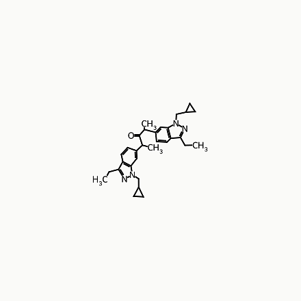 CCc1nn(CC2CC2)c2cc(C(C)C(=O)C(C)c3ccc4c(CC)nn(CC5CC5)c4c3)ccc12